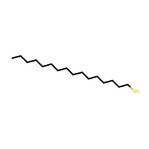 [CH2]CCCCCCCCCCCCCCCS